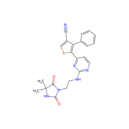 CC1(C)NC(=O)N(CCNc2nccc(-c3scc(C#N)c3-c3ccccc3)n2)C1=O